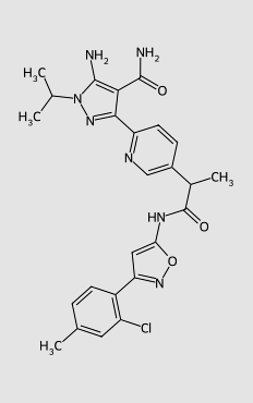 Cc1ccc(-c2cc(NC(=O)C(C)c3ccc(-c4nn(C(C)C)c(N)c4C(N)=O)nc3)on2)c(Cl)c1